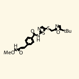 CONC(=O)C=Cc1ccc(C(=O)Nc2ncc(SCc3ncc(C(C)(C)C)o3)s2)cc1